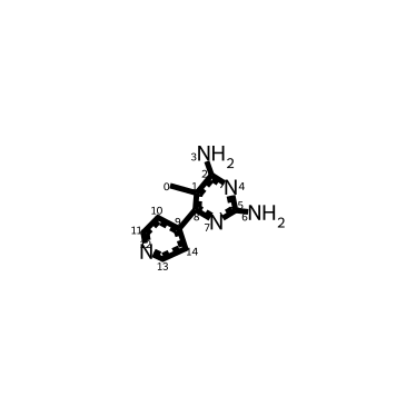 Cc1c(N)nc(N)nc1-c1ccncc1